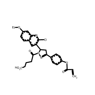 C=CC(=O)Oc1ccc(C2=NN(C(=O)CCCC(=O)O)C(c3cc4ccc(OCC)cc4nc3Cl)C2)cc1